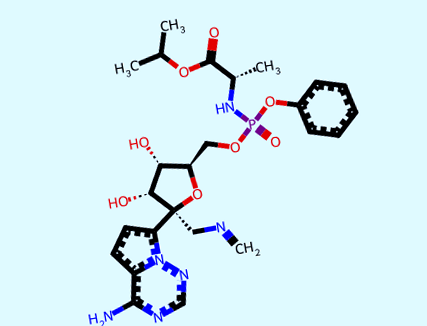 C=NC[C@@]1(c2ccc3c(N)ncnn23)O[C@H](COP(=O)(N[C@@H](C)C(=O)OC(C)C)Oc2ccccc2)[C@@H](O)[C@H]1O